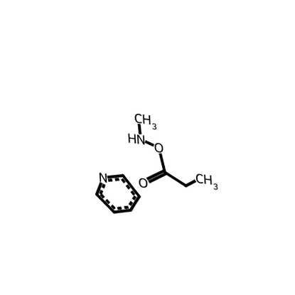 CCC(=O)ONC.c1ccncc1